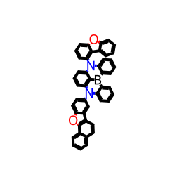 c1ccc2c(c1)B1c3ccccc3N(c3cccc4oc5ccccc5c34)c3cccc(c31)N2c1ccc2oc3c4ccccc4ccc3c2c1